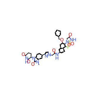 Cn1c(=O)n(C2CCC(=O)NC2=O)c2ccc(-c3ccn(CC(=O)Nc4ccc5c(F)c(N6CC(=O)NS6(=O)=O)c(OCc6ccccc6)cc5c4)n3)cc21